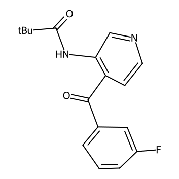 CC(C)(C)C(=O)Nc1cnccc1C(=O)c1cccc(F)c1